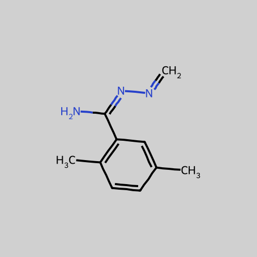 C=N/N=C(/N)c1cc(C)ccc1C